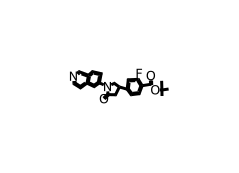 CC(C)(C)OC(=O)c1ccc(C2CC(=O)N(c3ccc4cnccc4c3)C2)cc1F